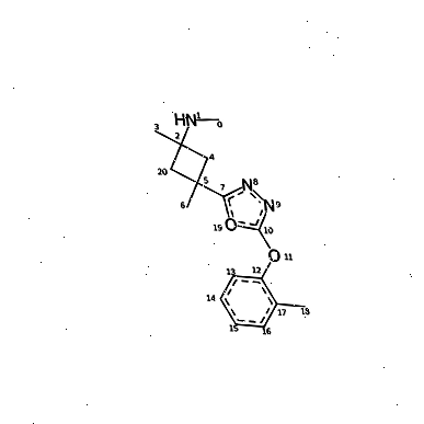 CNC1(C)CC(C)(c2nnc(Oc3ccccc3C)o2)C1